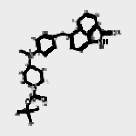 CN(c1ccc(Cc2ccc3c4c(cccc24)C(=O)N3)cc1)C1CCN(C(=O)OC(C)(C)C)CC1